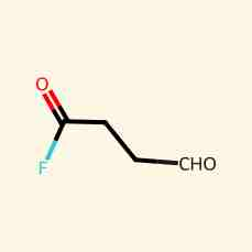 O=CCCC(=O)F